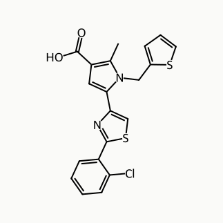 Cc1c(C(=O)O)cc(-c2csc(-c3ccccc3Cl)n2)n1Cc1cccs1